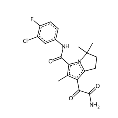 Cc1c(C(=O)C(N)=O)c2n(c1C(=O)Nc1ccc(F)c(Cl)c1)C(C)(C)CC2